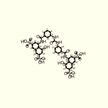 O=C(Nc1cccc(C(=O)Nc2cc(S(=O)(=O)O)cc3cc(S(=O)(=O)O)cc(O)c23)c1)Nc1cccc(C(=O)Nc2cc(S(=O)(=O)O)cc3cc(S(=O)(=O)O)cc(O)c23)c1